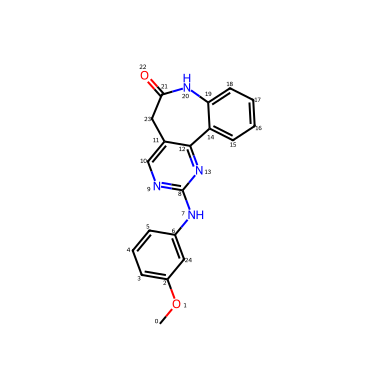 COc1cccc(Nc2ncc3c(n2)-c2ccccc2NC(=O)C3)c1